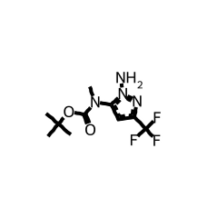 CN(C(=O)OC(C)(C)C)c1cc(C(F)(F)F)nn1N